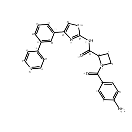 Nc1ccc(C(=O)N2CCC2C(=O)Nc2nc(-c3cccc(-c4ccncc4)c3)cs2)cc1